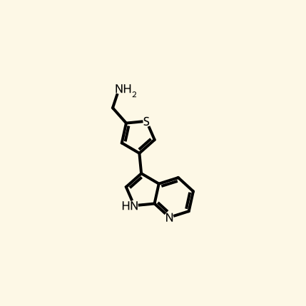 NCc1cc(-c2c[nH]c3ncccc23)cs1